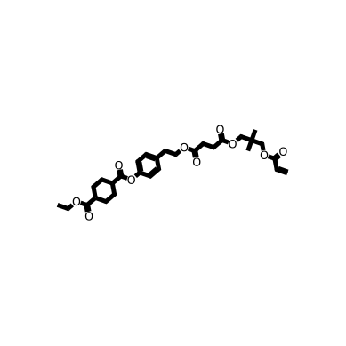 C=CC(=O)OCC(C)(C)COC(=O)CCC(=O)OCCc1ccc(OC(=O)C2CCC(C(=O)OCC)CC2)cc1